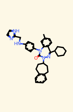 Cc1ccc2c(c1)N(c1ccc(NCc3ncc[nH]3)cc1)C(=O)N(C1CCc3ccccc3CC1)N=C2C1CCCCC1